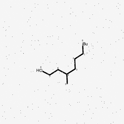 CCC(C)CCCC(C)CCO